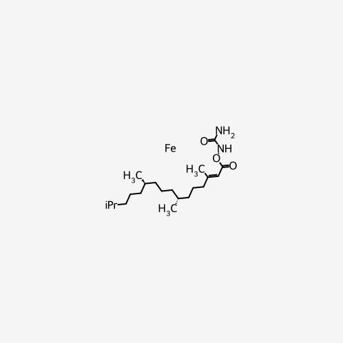 C/C(=C\C(=O)ONC(N)=O)CCC[C@H](C)CCC[C@H](C)CCCC(C)C.[Fe]